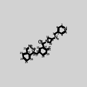 CN(Cc1ccncc1)C1CN(C(=O)c2cc(Cc3nncc4ccccc34)ccc2F)C1